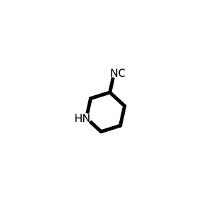 [C-]#[N+]C1CCCNC1